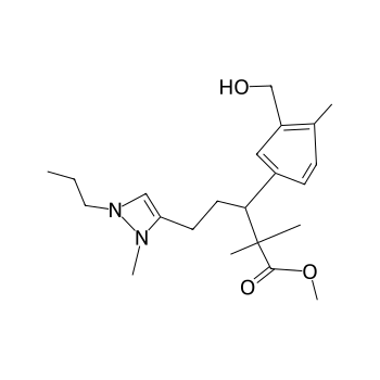 CCCn1cc(CCC(c2ccc(C)c(CO)c2)C(C)(C)C(=O)OC)n1C